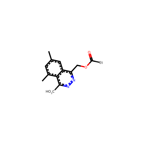 CCC(=O)OCc1nnc(C(=O)O)c2c(C)cc(C)cc12